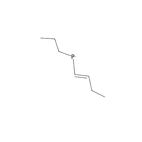 CCC=C[P]CCC